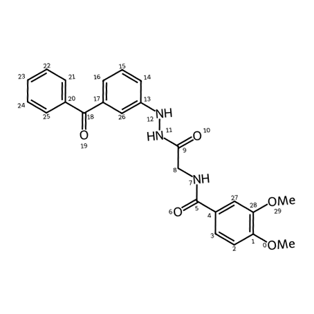 COc1ccc(C(=O)NCC(=O)NNc2cccc(C(=O)c3ccccc3)c2)cc1OC